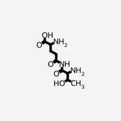 CC(O)C(N)C(=O)NC(=O)CCC(N)C(=O)O